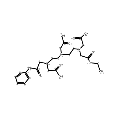 CCOC(=O)CN(CCN(CCN(CC(=O)O)CC(=O)Nc1ccccc1)CC(=O)O)CC(=O)O